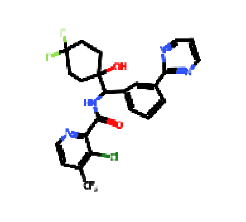 O=C(NC(c1cccc(-c2ncccn2)c1)C1(O)CCC(F)(F)CC1)c1nccc(C(F)(F)F)c1Cl